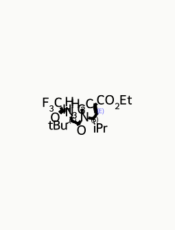 CCOC(=O)/C(C)=C/[C@H](C(C)C)N(C)C(=O)[C@@H](NC(=O)C(F)(F)F)C(C)(C)C